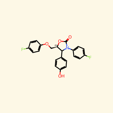 O=C1O[C@H](COc2ccc(F)cc2)C(c2ccc(O)cc2)N1c1ccc(F)cc1